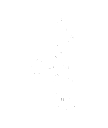 O=C1NC(=NCCc2c[nH]c3ccccc23)C(c2cccc(F)c2)N1CCCn1ccnc1